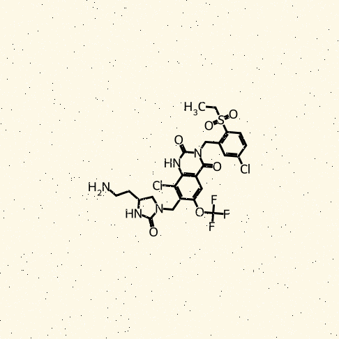 CCS(=O)(=O)c1ccc(Cl)cc1Cn1c(=O)[nH]c2c(Cl)c(CN3CC(CCN)NC3=O)c(OC(F)(F)F)cc2c1=O